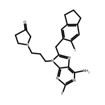 Nc1nc(F)nc2c1nc(Cc1cc3c(cc1I)CCC3)n2CCCN1CCC(=O)C1